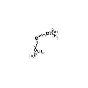 CCOC(Cc1ccc(SCC=CC#Cc2cccc(C#CC=CCSc3ccc(OCC(=O)O)c(C)c3)c2)cc1)C(=O)O